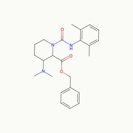 Cc1cccc(C)c1NC(=O)N1CCCC(N(C)C)C1C(=O)OCc1ccccc1